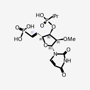 CO[C@@H]1[C@H](OP(=O)(O)C(C)C)[C@@H](/C=C/P(=O)(O)O)O[C@H]1n1ccc(=O)[nH]c1=O